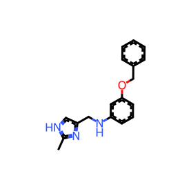 Cc1nc(CNc2cccc(OCc3ccccc3)c2)c[nH]1